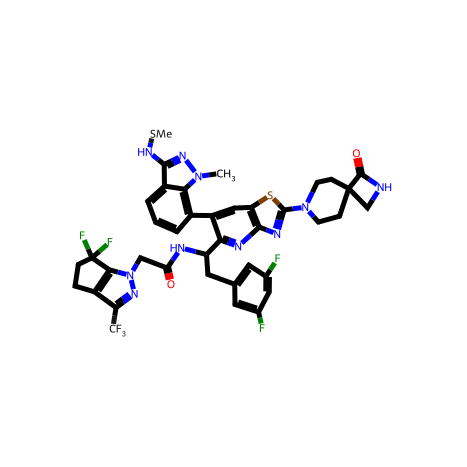 CSNc1nn(C)c2c(-c3cc4sc(N5CCC6(CC5)CNC6=O)nc4nc3C(Cc3cc(F)cc(F)c3)NC(=O)Cn3nc(C(F)(F)F)c4c3C(F)(F)CC4)cccc12